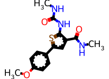 CNC(=O)Nc1sc(-c2ccc(OC)cc2)cc1C(=O)NC